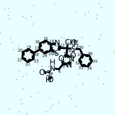 CC(c1nnc(CN[SH](=O)=O)o1)(c1nc2ccc(-c3ccccc3)cc2s1)S(=O)(=O)Cc1ccccc1